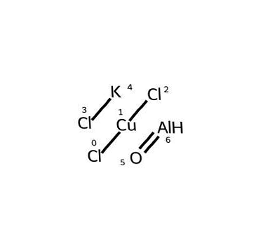 [Cl][Cu][Cl].[Cl][K].[O]=[AlH]